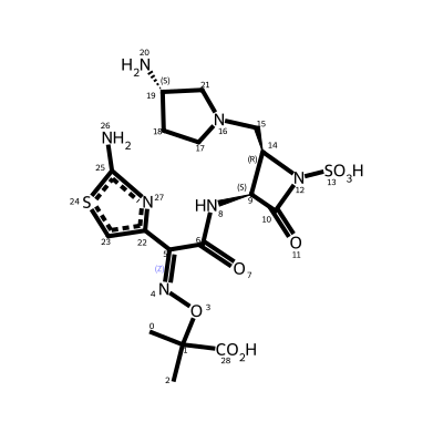 CC(C)(O/N=C(\C(=O)N[C@@H]1C(=O)N(S(=O)(=O)O)[C@@H]1CN1CC[C@H](N)C1)c1csc(N)n1)C(=O)O